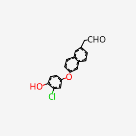 O=CCc1ccc2cc(Oc3ccc(O)c(Cl)c3)ccc2c1